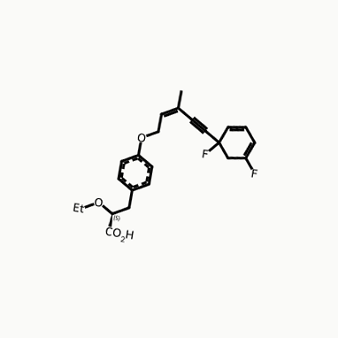 CCO[C@@H](Cc1ccc(OCC=C(C)C#CC2(F)C=CC=C(F)C2)cc1)C(=O)O